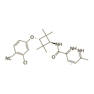 CC(=N)/C=C\C(=N)C(=O)N[C@H]1C(C)(C)[C@H](Oc2ccc(C#N)c(Cl)c2)C1(C)C